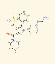 NCCN1CCC[C@H](n2nc(C(=O)N3CCOCC3)c3c2-c2ccccc2S(=O)(=O)C3)C1